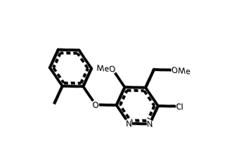 COCc1c(Cl)nnc(Oc2ccccc2C)c1OC